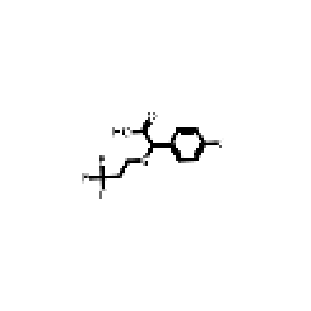 O=C(O)C(SCCC(F)(F)F)c1ccc(Cl)cc1